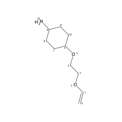 C=COCCOC1CCC(N)CC1